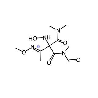 CO/N=C(\C)C(NO)(C(=O)N(C)C)C(=O)N(C)C=O